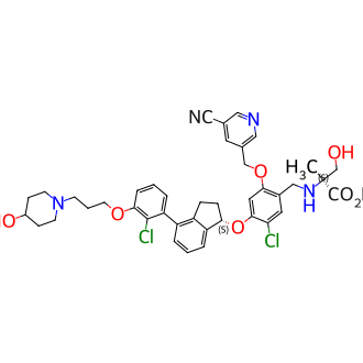 C[C@@](CO)(NCc1cc(Cl)c(O[C@H]2CCc3c(-c4cccc(OCCCN5CCC(O)CC5)c4Cl)cccc32)cc1OCc1cncc(C#N)c1)C(=O)O